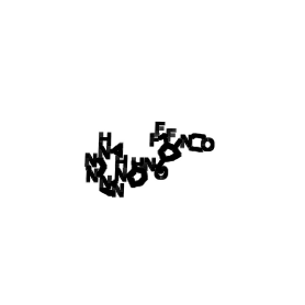 Cc1c(NC(=O)c2ccc(CN3CCOCC3)c(C(F)(F)F)c2)cccc1Nc1nccn1-c1cc(NC2CC2)ncn1